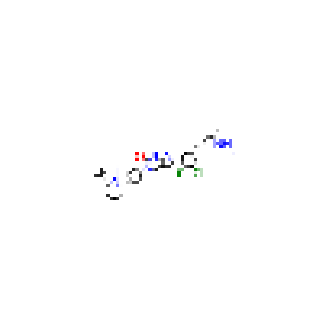 C[C@H](N)CCCc1cc(Cl)c(F)c(-c2cc3cn(-c4ccc([C@@H]5CCCC[C@@H](CC#N)N5)cc4)c(=O)nc3[nH]2)c1